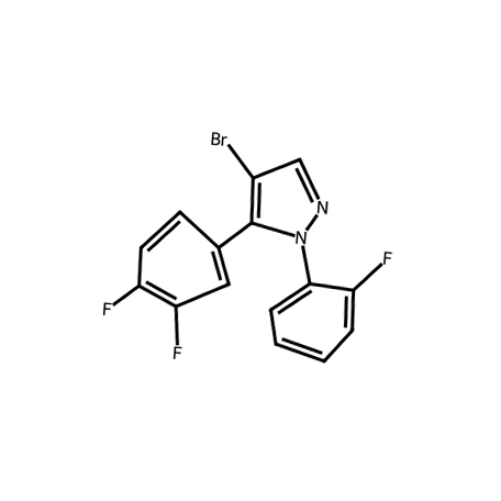 Fc1ccc(-c2c(Br)cnn2-c2ccccc2F)cc1F